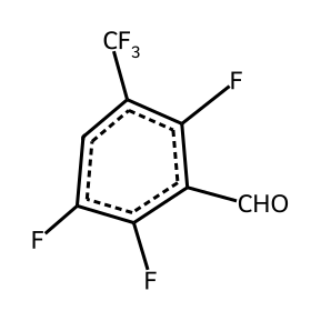 O=Cc1c(F)c(F)cc(C(F)(F)F)c1F